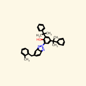 Cc1ccccc1Cc1ccc2nn(-c3cc(C(C)(C)c4ccccc4)cc(C(C)(C)c4ccccc4)c3O)nc2c1